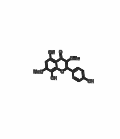 COc1cc(O)c2c(=O)c(OC)c(-c3ccc(O)cc3)oc2c1O